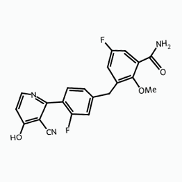 COc1c(Cc2ccc(-c3nccc(O)c3C#N)c(F)c2)cc(F)cc1C(N)=O